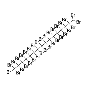 BrC(Br)C(Br)(Br)C(Br)(Br)C(Br)(Br)C(Br)(Br)C(Br)(Br)C(Br)(Br)C(Br)(Br)C(Br)(Br)C(Br)(Br)C(Br)(Br)C(Br)(Br)C(Br)(Br)C(Br)(Br)C(Br)(Br)C(Br)(Br)Br